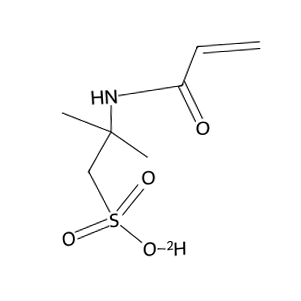 [2H]OS(=O)(=O)CC(C)(C)NC(=O)C=C